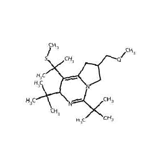 COCC1CC2=C(C(C)(C)SC)C(C(C)(C)C)N=C(C(C)(C)C)N2C1